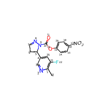 Cc1ncc(C2CC=NN2C(=O)Oc2ccc([N+](=O)[O-])cc2)cc1F